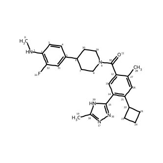 CNc1ccc(C2CCN(C(=O)c3cc(-c4nnc(C)[nH]4)c(C4CCC4)cc3C)CC2)cc1F